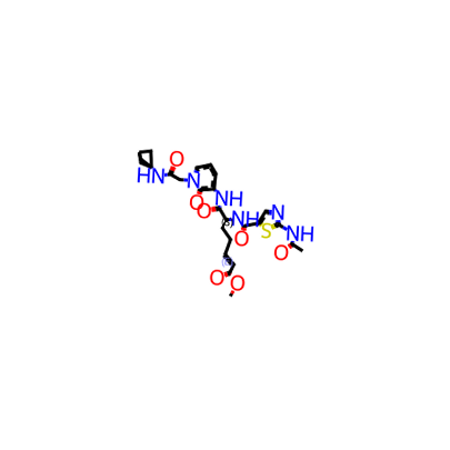 COC(=O)/C=C/CC[C@H](NC(=O)c1cnc(NC(C)=O)s1)C(=O)Nc1cccn(CC(=O)NC23CC(C2)C3)c1=O